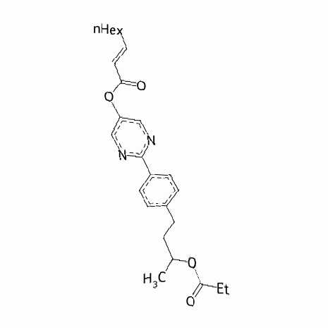 CCCCCCC=CC(=O)Oc1cnc(-c2ccc(CCC(C)OC(=O)CC)cc2)nc1